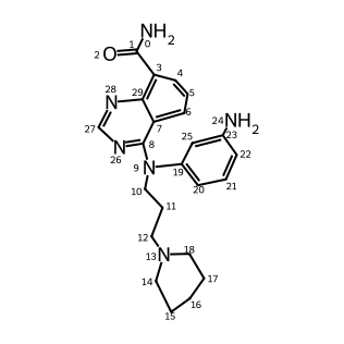 NC(=O)c1cccc2c(N(CCCN3CCCCC3)c3cccc(N)c3)ncnc12